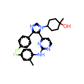 Cc1cc(F)ccc1Nc1nccc(-c2c(-c3ccc(F)cc3)ncn2C2CCC(C)(O)CC2)n1